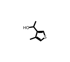 Cc1cscc1C(C)O